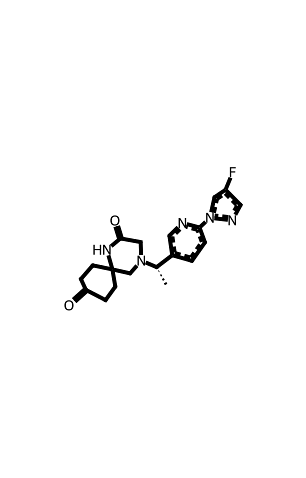 C[C@@H](c1ccc(-n2cc(F)cn2)nc1)N1CC(=O)NC2(CCC(=O)CC2)C1